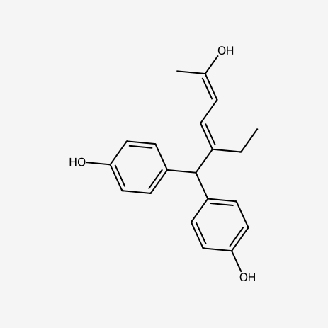 CC/C(=C\C=C(/C)O)C(c1ccc(O)cc1)c1ccc(O)cc1